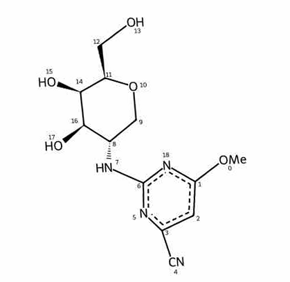 COc1cc(C#N)nc(N[C@H]2CO[C@H](CO)[C@H](O)[C@@H]2O)n1